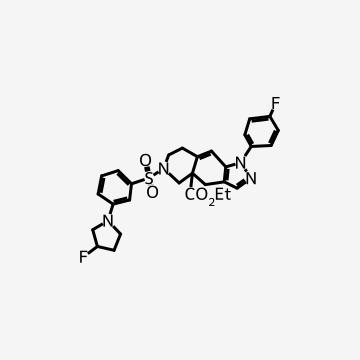 CCOC(=O)C12Cc3cnn(-c4ccc(F)cc4)c3C=C1CCN(S(=O)(=O)c1cccc(N3CCC(F)C3)c1)C2